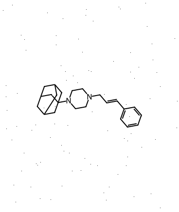 C(=C\c1ccccc1)/CN1CCN(C23CC4CC(CC(C4)C2)C3)CC1